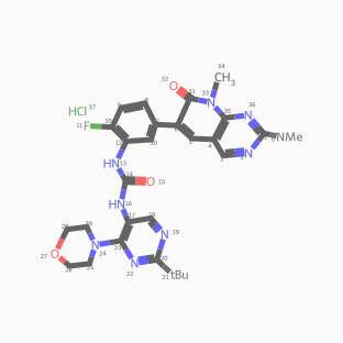 CNc1ncc2cc(-c3ccc(F)c(NC(=O)Nc4cnc(C(C)(C)C)nc4N4CCOCC4)c3)c(=O)n(C)c2n1.Cl